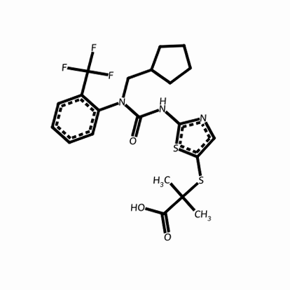 CC(C)(Sc1cnc(NC(=O)N(CC2CCCC2)c2ccccc2C(F)(F)F)s1)C(=O)O